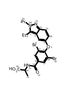 CCc1c2cc(Oc3c(Br)cc(C(=O)NC(C)C(=O)O)cc3Br)ccc2nn1C(C)C